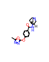 Cc1nnc(Oc2ccc(C(=O)N[C@H]3CN4CCC3CC4)cc2)o1